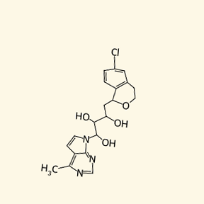 Cc1ncnc2c1ccn2C(O)C(O)C(O)CC1OCCc2cc(Cl)ccc21